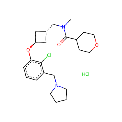 CN(C[C@H]1C[C@H](Oc2cccc(CN3CCCC3)c2Cl)C1)C(=O)C1CCOCC1.Cl